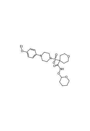 CCOc1ccc(N2CCN(S(=O)(=O)C3(C(=O)NOC4CCCCO4)CCOCC3)CC2)cc1